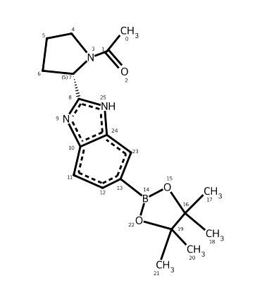 CC(=O)N1CCC[C@H]1c1nc2ccc(B3OC(C)(C)C(C)(C)O3)cc2[nH]1